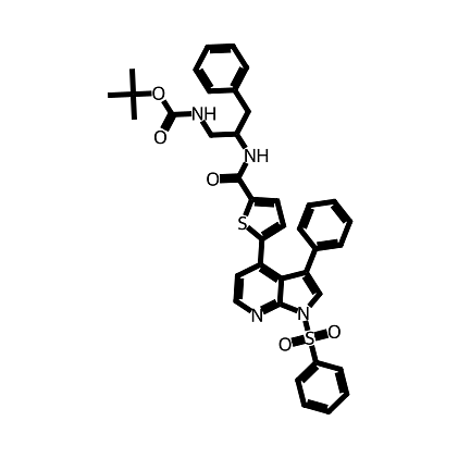 CC(C)(C)OC(=O)NCC(Cc1ccccc1)NC(=O)c1ccc(-c2ccnc3c2c(-c2ccccc2)cn3S(=O)(=O)c2ccccc2)s1